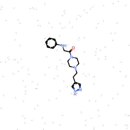 O=C(CNc1ccccc1)N1CCN(CCc2cn[nH]c2)CC1